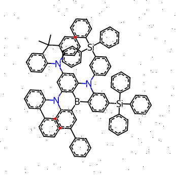 CC1(C)c2ccccc2N(c2cc3c4c(c2)N(c2ccccc2-c2ccccc2)c2ccc(-c5ccccc5)cc2B4c2ccc([Si](c4ccccc4)(c4ccccc4)c4ccccc4)cc2N3c2cccc([Si](c3ccccc3)(c3ccccc3)c3ccccc3)c2)c2ccccc21